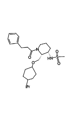 CC(C)C1CCC(OC[C@H]2[C@@H](NS(C)(=O)=O)CCCN2C(=O)CCc2ccccc2)CC1